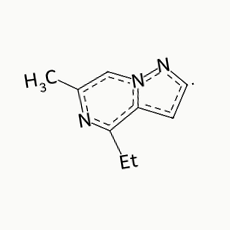 CCc1nc(C)cn2n[c]cc12